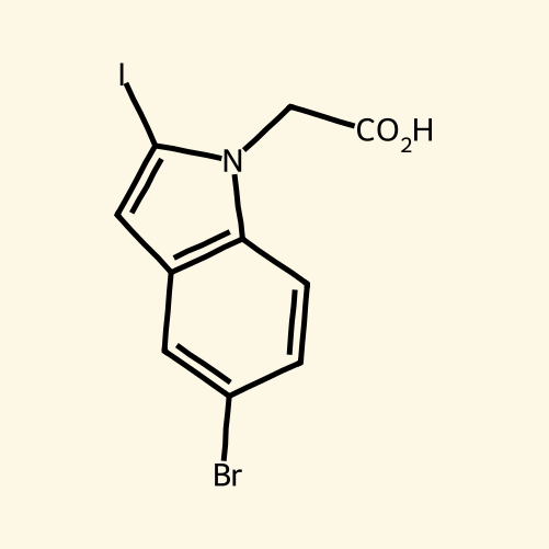 O=C(O)Cn1c(I)cc2cc(Br)ccc21